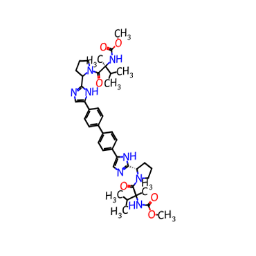 COC(=O)NC(C)(C(=O)N1CCC[C@H]1c1ncc(-c2ccc(-c3ccc(-c4cnc(C5CCCN5C(=O)[C@@](C)(NC(=O)OC)C(C)C)[nH]4)cc3)cc2)[nH]1)C(C)C